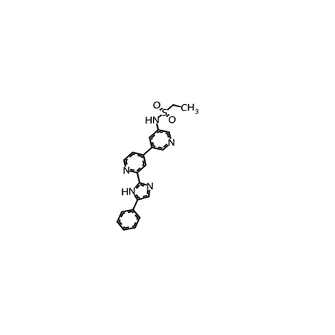 CCS(=O)(=O)Nc1cncc(-c2ccnc(-c3ncc(-c4ccccc4)[nH]3)c2)c1